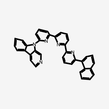 c1cc(-c2cccc(-c3cccc4ccccc34)n2)nc(-c2cccc(-n3c4ccccc4c4ccncc43)n2)c1